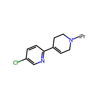 CC(C)N1CC=C(c2ccc(Cl)cn2)CC1